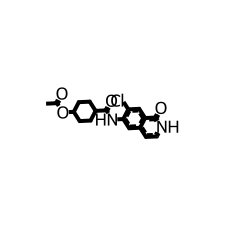 CC(=O)OC1CCC(C(=O)Nc2cc3cc[nH]c(=O)c3cc2Cl)CC1